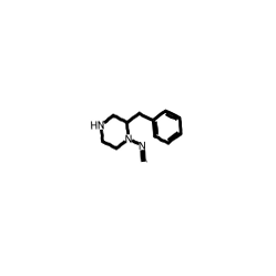 [CH]=NN1CCNCC1Cc1ccccc1